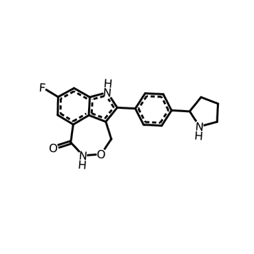 O=C1NOCc2c(-c3ccc(C4CCCN4)cc3)[nH]c3cc(F)cc1c23